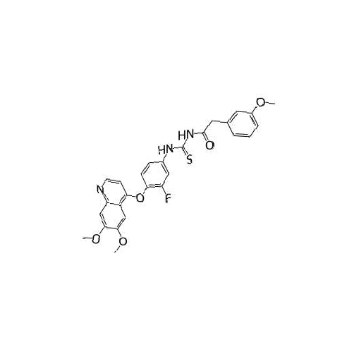 COc1cccc(CC(=O)NC(=S)Nc2ccc(Oc3ccnc4cc(OC)c(OC)cc34)c(F)c2)c1